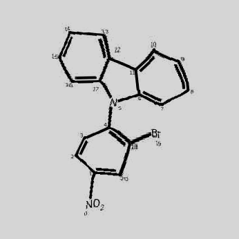 O=[N+]([O-])c1ccc(-n2c3ccccc3c3ccccc32)c(Br)c1